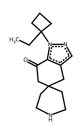 CCC1(n2ncc3c2C(=O)CC2(CCNCC2)C3)CCC1